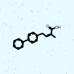 CC(=CCc1ccc(-c2ccccc2)cc1)C(=O)O